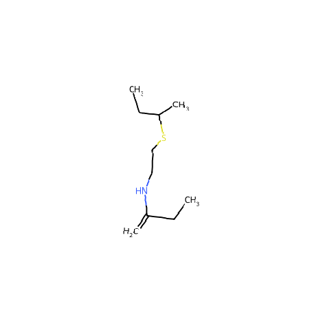 C=C(CC)NCCSC(C)CC